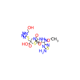 CCON=C(C(=O)NC1C(=O)N2CC(CSc3nnnn3CCO)(C(=O)O)CS[C@H]12)c1nsc(N)n1